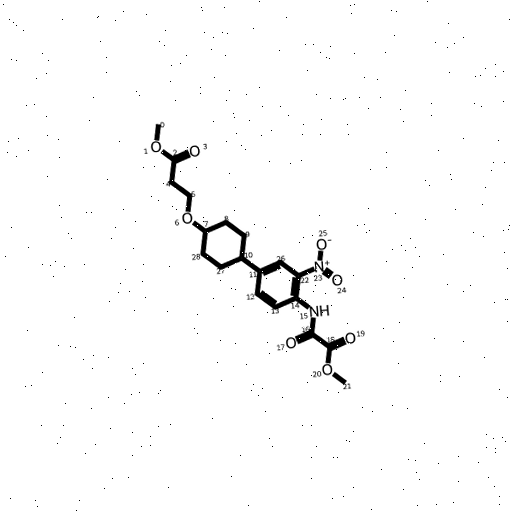 COC(=O)CCOC1CCC(c2ccc(NC(=O)C(=O)OC)c([N+](=O)[O-])c2)CC1